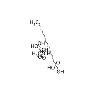 CC(P(=O)=O)[N+](C)(C)CCC(O)O.CCCCCCCCCCCCCCCCCCCCCC(=O)C(O)CCO